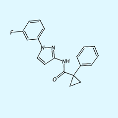 O=C(Nc1ccn(-c2cccc(F)c2)n1)C1(c2ccccc2)CC1